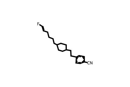 N#Cc1ccc(CCC2CCC(CCCCC=CF)CC2)cc1